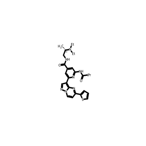 CCN(CC)[C@@H](C)CNC(=O)c1cc(NC(=O)C(C)C)nc(-c2cnn3ccc(-c4cccs4)nc23)c1